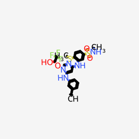 C#Cc1cccc(Nc2cc(Nc3cc(S(=O)(=O)NC)ccc3SC)ncn2)c1.O=C(O)C(F)(F)F